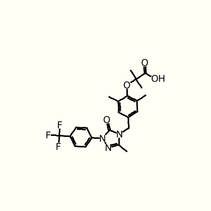 Cc1cc(Cn2c(C)nn(-c3ccc(C(F)(F)F)cc3)c2=O)cc(C)c1OC(C)(C)C(=O)O